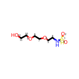 O=[SH](=O)NCCOCCOCCO